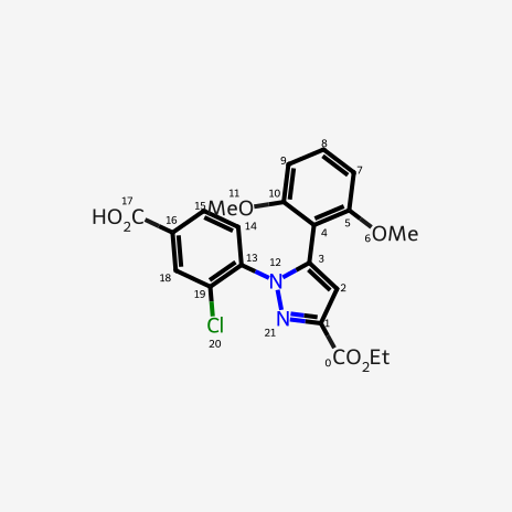 CCOC(=O)c1cc(-c2c(OC)cccc2OC)n(-c2ccc(C(=O)O)cc2Cl)n1